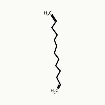 C=CCCCC[CH]CCCCC=C